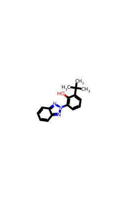 CC(C)(C)c1cccc(-n2nc3ccccc3n2)c1O